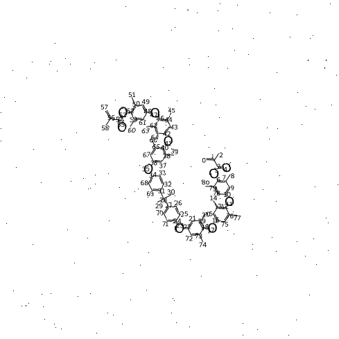 C=C(C)C(=O)Oc1c(C)cc(Oc2c(C)cc(Oc3c(C)cc(Oc4ccc(C(C)(C)c5ccc(Oc6cc(C)c(Oc7cc(C)c(Oc8cc(C)c(OC(=O)C(=C)C)c(C)c8)c(C)c7)c(C)c6)cc5)cc4)cc3C)cc2C)cc1C